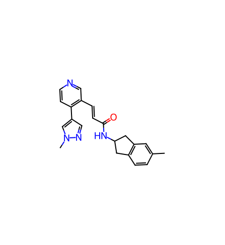 Cc1ccc2c(c1)CC(NC(=O)C=Cc1cnccc1-c1cnn(C)c1)C2